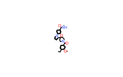 CCc1ccc(C(=O)N2CCC3(CC2)Oc2cc(C(=O)NC)ccc2-n2cccc23)cc1OC